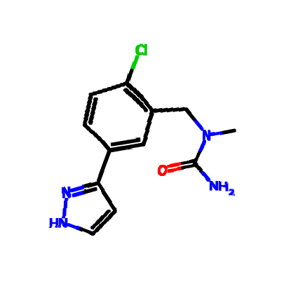 CN(Cc1cc(-c2cc[nH]n2)ccc1Cl)C(N)=O